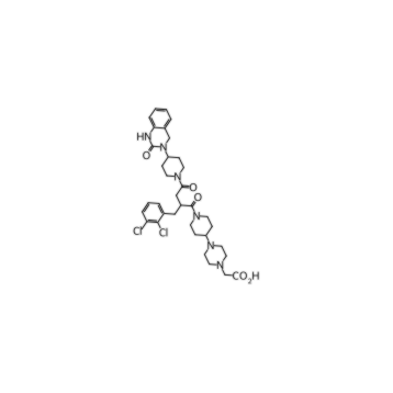 O=C(O)CN1CCN(C2CCN(C(=O)C(CC(=O)N3CCC(N4Cc5ccccc5NC4=O)CC3)Cc3cccc(Cl)c3Cl)CC2)CC1